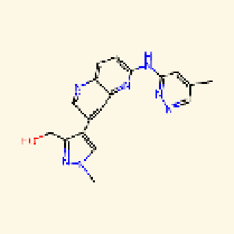 Cc1cnnc(Nc2ccc3ncc(-c4cn(C)nc4CO)cc3n2)c1